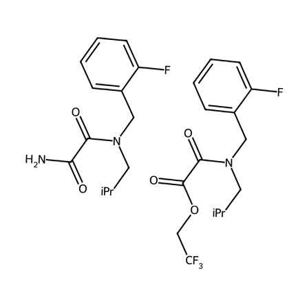 CC(C)CN(Cc1ccccc1F)C(=O)C(=O)OCC(F)(F)F.CC(C)CN(Cc1ccccc1F)C(=O)C(N)=O